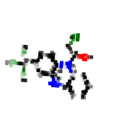 O=C(CCl)Nc1ccccc1Nc1cccc(C(F)(F)F)c1